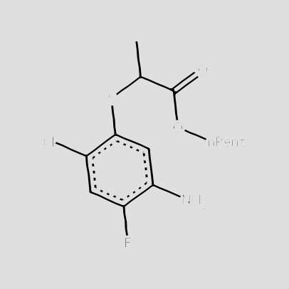 CCCCCOC(=O)C(C)Sc1cc(N)c(F)cc1Cl